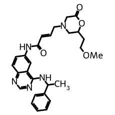 COCCC1CN(CC=CC(=O)Nc2ccc3ncnc(NC(C)c4ccccc4)c3c2)CC(=O)O1